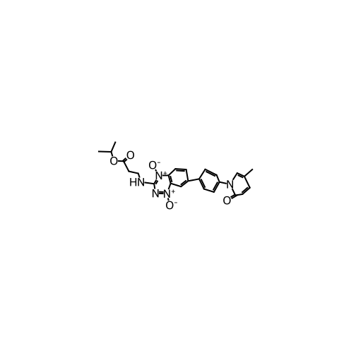 Cc1ccc(=O)n(-c2ccc(-c3ccc4c(c3)[n+]([O-])nc(NCCC(=O)OC(C)C)[n+]4[O-])cc2)c1